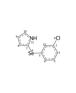 Clc1cccc([Se]c2ccc[nH]2)c1